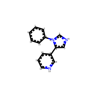 c1ccc(-n2cncc2-c2cccnc2)cc1